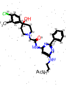 CC(=O)NCCNc1cc(NC(=O)CN2CCC(O)(c3ccc(Cl)c(C(F)(F)F)c3)CC2)nc(-c2ccccc2)n1